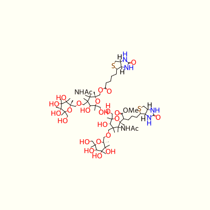 CC(=O)NC1(C)C(C)(COC[C@]2(C)OC(C)(CO)[C@](C)(O)C(C)(O)C2(C)O)[C@H](O)C(C)(CO)O[C@@]1(C)COC(=O)CCCCC1SC[C@@H]2NC(=O)N[C@H]12.COC(=O)C(CCCC1SC[C@@H]2NC(=O)N[C@H]12)[C@@]1(C)OC(C)(CO)[C@@H](O)C(C)(COC[C@]2(C)OC(C)(CO)[C@](C)(O)C(C)(O)C2(C)O)C1(C)NC(C)=O